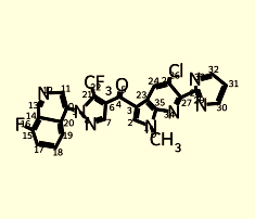 Cn1cc(C(=O)c2cnn(-c3cncc4c(F)cccc34)c2C(F)(F)F)c2cc(Cl)c(-c3ncccn3)nc21